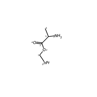 CCCCOC(=O)C(C)N